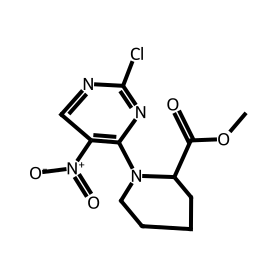 COC(=O)C1CCCCN1c1nc(Cl)ncc1[N+](=O)[O-]